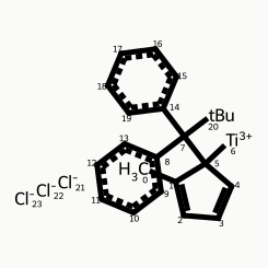 CC1=CC=C[C]1([Ti+3])C(c1ccccc1)(c1ccccc1)C(C)(C)C.[Cl-].[Cl-].[Cl-]